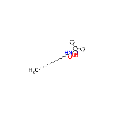 CCCCCCCCCCCCCCCCCC(=O)NC(=O)c1cc(-c2ccccc2)cc(-c2ccccc2)c1I=O